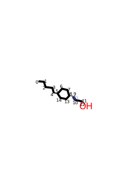 CCCCC[C@H]1CC[C@H](/C=C/CO)CC1